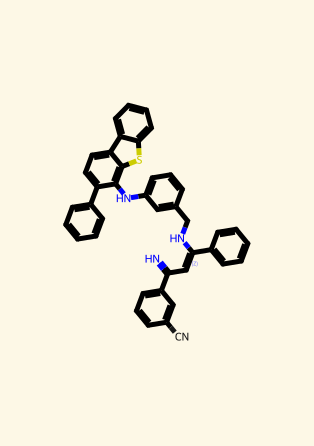 N#Cc1cccc(C(=N)/C=C(\NCc2cccc(Nc3c(-c4ccccc4)ccc4c3sc3ccccc34)c2)c2ccccc2)c1